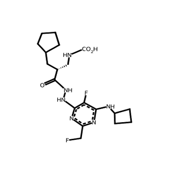 O=C(O)NC[C@@H](CC1CCCC1)C(=O)NNc1nc(CF)nc(NC2CCC2)c1F